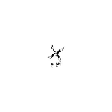 [K].[NH4+].[O]=[Mn](=[O])(=[O])[O-]